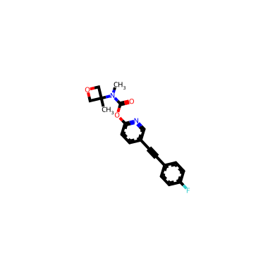 CN(C(=O)Oc1ccc(C#Cc2ccc(F)cc2)cn1)C1(C)COC1